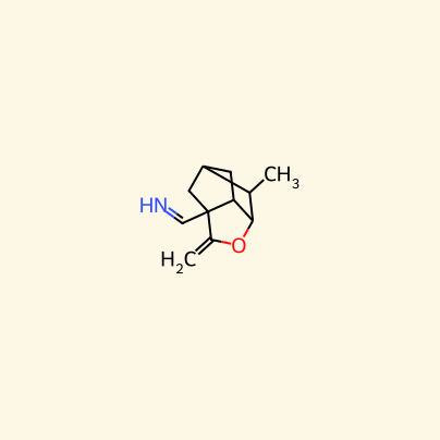 C=C1OC2C(C)C3CC2C1(C=N)C3